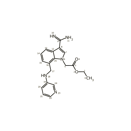 CCOC(=O)Cn1cc(C(=N)N)c2cccc(CNc3cccnc3)c21